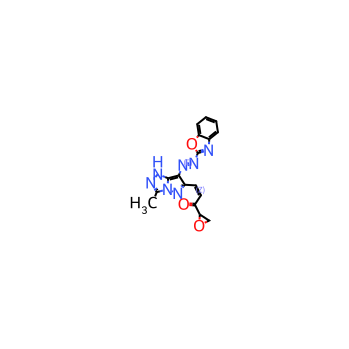 Cc1n[nH]c2c(/N=N/c3nc4ccccc4o3)c(/C=C\C(=O)C3CO3)nn12